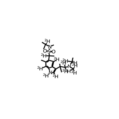 [2H]c1c(C([2H])(C)S(=O)(=O)N(C)C([2H])(C)C)c(C)c([2H])c2c1c(C(C)(C)C([2H])([2H])N(C([2H])([2H])[2H])C([2H])([2H])C)c([2H])n2[2H]